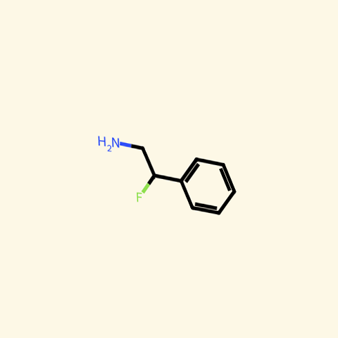 NC[C](F)c1ccccc1